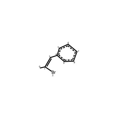 C/C(Br)=C/c1ccccc1